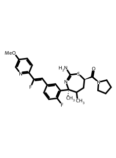 COc1ccc(/C(F)=C/c2ccc(F)c([C@@]3(C)N=C(N)S[C@@H](C(=O)N4CCCC4)CC3C)c2)nc1